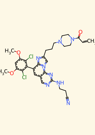 C=CC(=O)N1CCN(CCCc2cn3c(n2)c(-c2c(Cl)c(OC)cc(OC)c2Cl)cc2cnc(NCCC#N)nc23)CC1